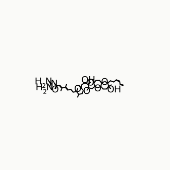 C=C/C=C\CCC1OC2CCC3(C)OC4C(CC3OC2CCC1(C)O)OC1CC(C)C(CC/C=C(C)/C(C)=C/C(=O)N=C(N)N)OC1(C)C[C@@H]4O